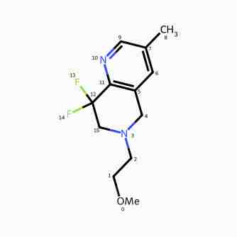 COCCN1Cc2cc(C)cnc2C(F)(F)C1